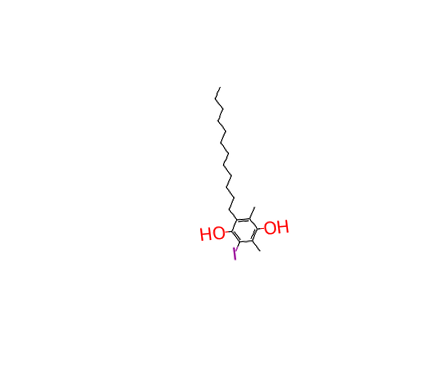 CCCCCCCCCCCCc1c(C)c(O)c(C)c(I)c1O